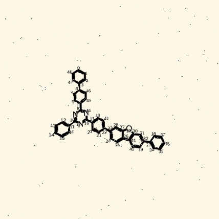 c1ccc(-c2ccc(-c3nc(-c4ccccc4)nc(-c4ccc(-c5ccc6c(c5)oc5cc(-c7ccccc7)ccc56)cc4)n3)cc2)cc1